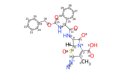 CC1=C(C(=O)O)N2C(=O)C(NC(=O)C(NC(=O)OCc3ccccc3)c3ccccc3)[C@H]2[S+]([O-])C1=[N+]=[N-]